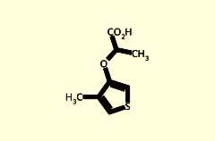 Cc1cscc1OC(C)C(=O)O